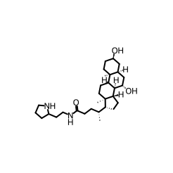 C[C@H](CCC(=O)NCCC1CCCN1)[C@H]1CC[C@H]2[C@@H]3[C@@H](O)C[C@@H]4C[C@H](O)CC[C@]4(C)[C@H]3CC[C@]12C